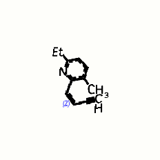 C#C/C=C\c1nc(CC)ccc1C